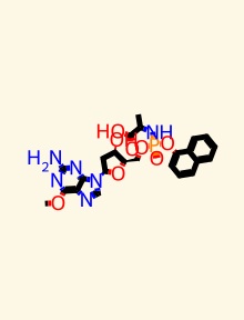 COc1nc(N)nc2c1ncn2[C@H]1C[C@H](O)[C@@H](COP(=O)(NC(C)C(=O)O)Oc2cccc3ccccc23)O1